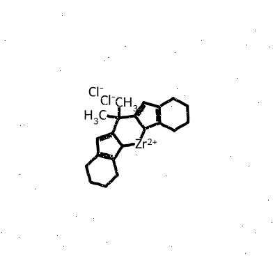 CC1(C)C2=CC3=C(CCCC3)[CH]2[Zr+2][CH]2C1=CC1=C2CCCC1.[Cl-].[Cl-]